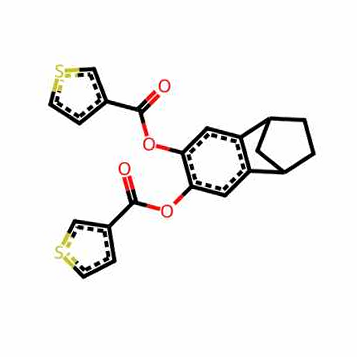 O=C(Oc1cc2c(cc1OC(=O)c1ccsc1)C1CCC2C1)c1ccsc1